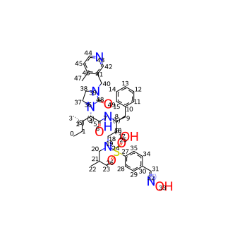 CC[C@H](C)[C@@H](C(=O)N[C@@H](Cc1ccccc1)[C@H](O)CN(CC(C)C)S(=O)(=O)c1ccc(/C=N/O)cc1)N1CCN(Cc2cnccc2C)C1=O